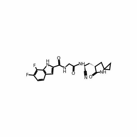 N#C[C@H](C[C@@H]1CC2(CC2)NC1=O)NC(=O)CNC(=O)c1cc2ccc(F)c(F)c2[nH]1